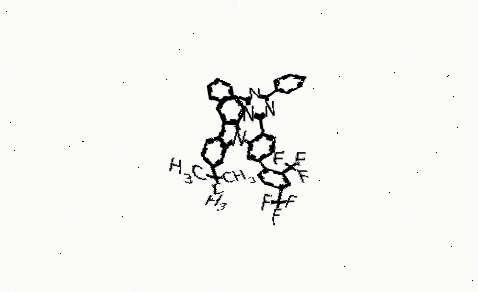 CC(C)(C)c1ccc2c3ccccc3n(-c3cc(-c4ccc(C(F)(F)F)cc4C(F)(F)F)ccc3-c3nc(-c4ccccc4)nc(-c4ccccc4)n3)c2c1